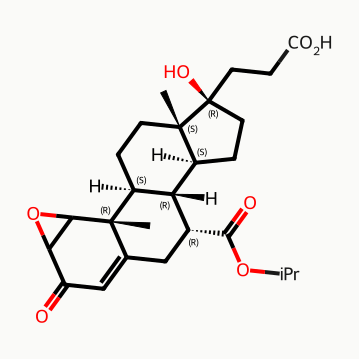 CC(C)OC(=O)[C@@H]1CC2=CC(=O)C3OC3[C@]2(C)[C@H]2CC[C@@]3(C)[C@@H](CC[C@@]3(O)CCC(=O)O)[C@H]12